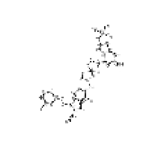 CNc1nc(N2CCC3(CCN(Cc4ccc5c(cc(C#N)n5CCc5ccnc(C)c5)c4C)C3)C2)c2cc(CC(F)(F)F)sc2n1